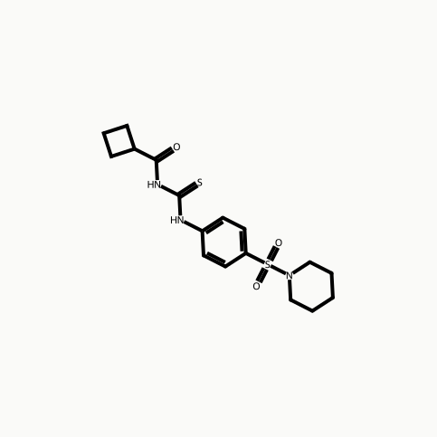 O=C(NC(=S)Nc1ccc(S(=O)(=O)N2CCCCC2)cc1)C1CCC1